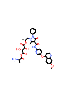 COc1ccc2c(Oc3ccc(NC(=O)c4c(C)n(C[C@@H](C)OC(=O)[C@@H](O)[C@H](O)C(=O)OC(=O)C(C)N)n(-c5ccccc5)c4=O)nc3)ccnc2c1